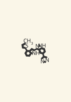 Cc1ccc(-c2cccc3[nH]c(-c4n[nH]c5ccc(-c6cncnc6)cc45)cc23)s1